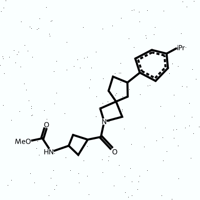 COC(=O)NC1CC(C(=O)N2CC3(CCC(c4ccc(C(C)C)cc4)C3)C2)C1